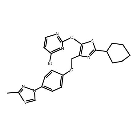 CCc1ccnc(Oc2sc(C3CCCCC3)nc2COc2ccc(-n3cnc(C)n3)cc2)n1